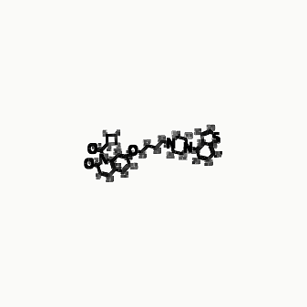 O=C(C1CCC1)n1c(=O)ccc2ccc(OCCCCN3CCN(c4cccc5sccc45)CC3)cc21